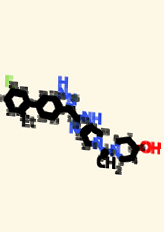 C=C(N1CCC(O)CC1)N1Cc2nc(-c3n[nH]c4cc(-c5cc(F)ccc5CC)ccc34)[nH]c2C1